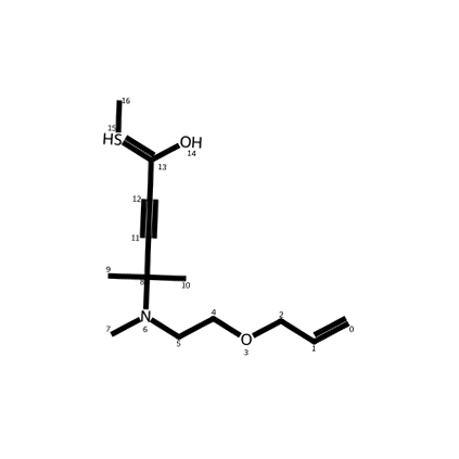 C=CCOCCN(C)C(C)(C)C#CC(O)=[SH]C